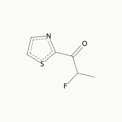 CC(F)C(=O)c1nccs1